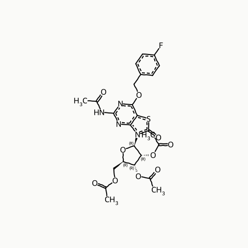 CC(=O)Nc1nc(OCc2ccc(F)cc2)c2sc(=O)n([C@@H]3O[C@H](COC(C)=O)[C@@H](OC(C)=O)[C@H]3OC(C)=O)c2n1